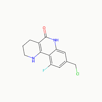 O=c1[nH]c2cc(CCl)cc(F)c2c2c1CCCN2